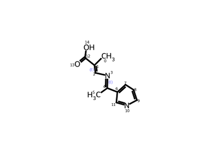 C/C(=C\N=C(/C)c1cccnc1)C(=O)O